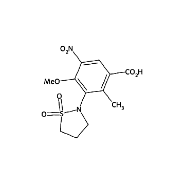 COc1c([N+](=O)[O-])cc(C(=O)O)c(C)c1N1CCCS1(=O)=O